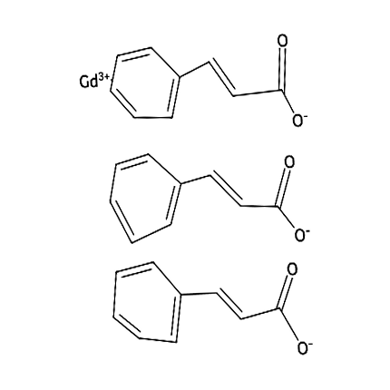 O=C([O-])C=Cc1ccccc1.O=C([O-])C=Cc1ccccc1.O=C([O-])C=Cc1ccccc1.[Gd+3]